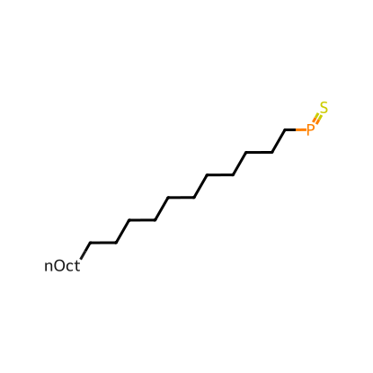 CCCCCCCCCCCCCCCCCCCP=S